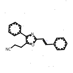 N#CCCc1oc(/C=C/c2ccccc2)nc1-c1ccccc1